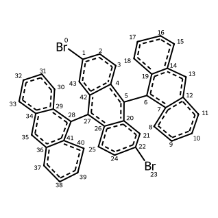 Brc1ccc2c(-c3c4ccccc4cc4ccccc34)c3cc(Br)ccc3c(-c3c4ccccc4cc4ccccc34)c2c1